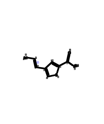 CC(=O)/C=C/c1csc(C(=O)C(C)(C)C)c1